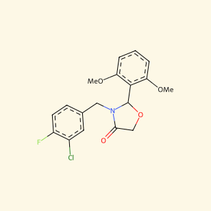 COc1cccc(OC)c1C1OCC(=O)N1Cc1ccc(F)c(Cl)c1